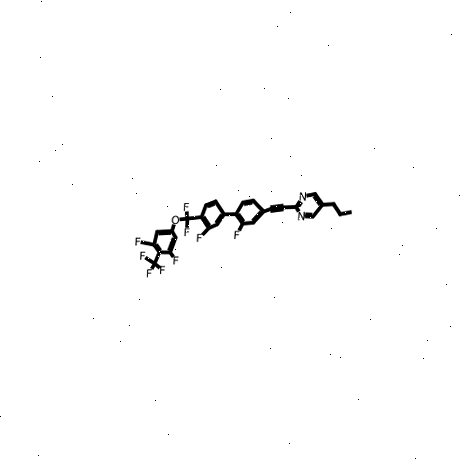 CCCc1cnc(C#Cc2ccc(-c3ccc(C(F)(F)Oc4cc(F)c(C(F)(F)F)c(F)c4)c(F)c3)c(F)c2)nc1